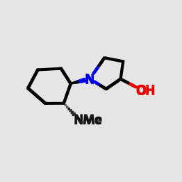 CN[C@@H]1CCCC[C@H]1N1CCC(O)C1